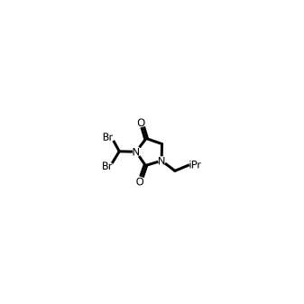 CC(C)CN1CC(=O)N(C(Br)Br)C1=O